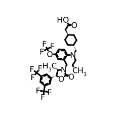 CCCN(C[C@H]1CC[C@H](CC(=O)O)CC1)c1ccc(OC(F)(F)F)cc1CN1C(=O)O[C@H](c2cc(C(F)(F)F)cc(C(F)(F)F)c2)[C@@H]1C